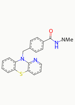 CNNC(=O)c1ccc(CN2c3ccccc3Sc3cccnc32)cc1